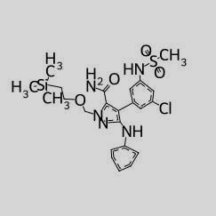 C[Si](C)(C)CCOCn1nc(Nc2ccccc2)c(-c2cc(Cl)cc(NS(C)(=O)=O)c2)c1C(N)=O